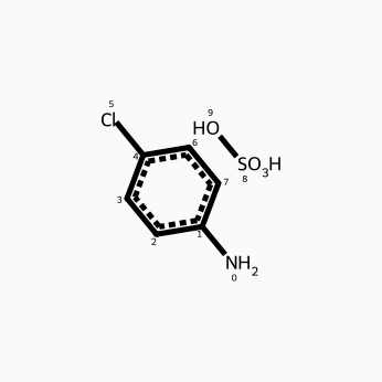 Nc1ccc(Cl)cc1.O=S(=O)(O)O